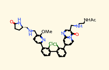 COc1nc(-c2cccc(-c3cccc(-c4ccn5c(=O)c(CNCCNC(C)=O)cnc5c4)c3Cl)c2Cl)ccc1CNC[C@@H]1CCC(=O)N1